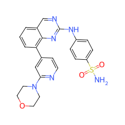 NS(=O)(=O)c1ccc(Nc2ncc3cccc(-c4ccnc(N5CCOCC5)c4)c3n2)cc1